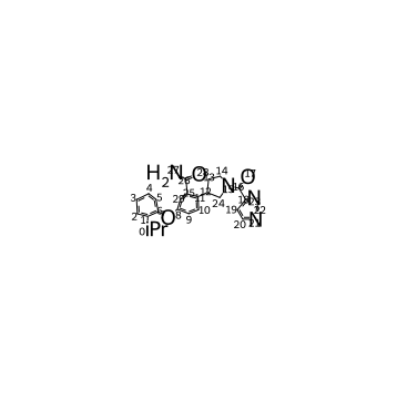 CC(C)c1ccccc1Oc1ccc(C2CCN(C(=O)c3ccncn3)C2)c(C(N)=O)c1